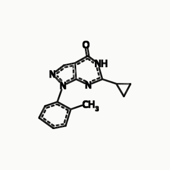 Cc1ccccc1-n1ncc2c(=O)[nH]c(C3CC3)nc21